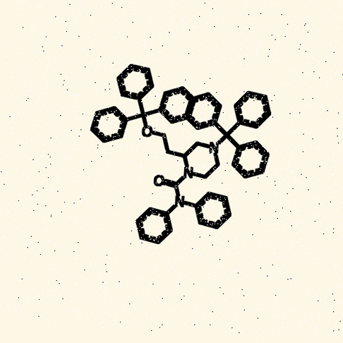 O=C(N(c1ccccc1)c1ccccc1)N1CCN(C(c2ccccc2)(c2ccccc2)c2ccccc2)CC1CCOC(c1ccccc1)(c1ccccc1)c1ccccc1